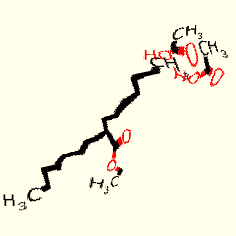 CC(=O)O.CC(=O)O.CCCCCCCC(CCCCCCC)C(=O)OCC